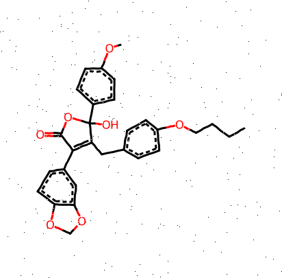 CCCCOc1ccc(CC2=C(c3ccc4c(c3)OCO4)C(=O)OC2(O)c2ccc(OC)cc2)cc1